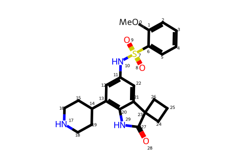 COc1ccccc1S(=O)(=O)Nc1cc(C2CCNCC2)c2c(c1)C1(CCC1)C(=O)N2